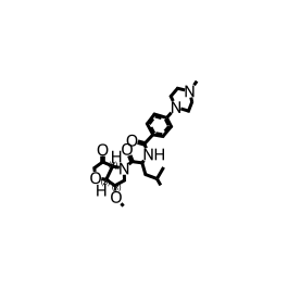 CO[C@@H]1CN(C(=O)C(CC(C)C)NC(=O)c2ccc(N3CCN(C)CC3)cc2)[C@@H]2C(=O)CO[C@@H]21